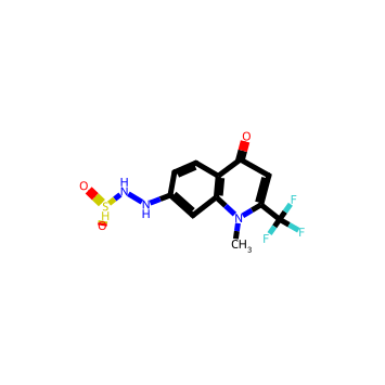 Cn1c(C(F)(F)F)cc(=O)c2ccc(NN[SH](=O)=O)cc21